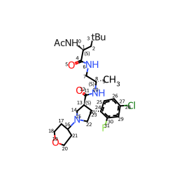 CC(=O)N[C@@H](CC(C)(C)C)C(=O)NC[C@H](C)NC(=O)[C@@H]1CN(C2CCOCC2)C[C@H]1c1ccc(Cl)cc1F